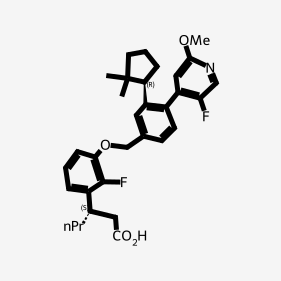 CCC[C@@H](CC(=O)O)c1cccc(OCc2ccc(-c3cc(OC)ncc3F)c([C@@H]3CCCC3(C)C)c2)c1F